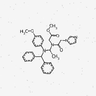 COC(=O)CN(C(=O)Cn1ccnc1)C(C)N(c1ccc(OC)cc1)C(c1ccccc1)c1ccccc1